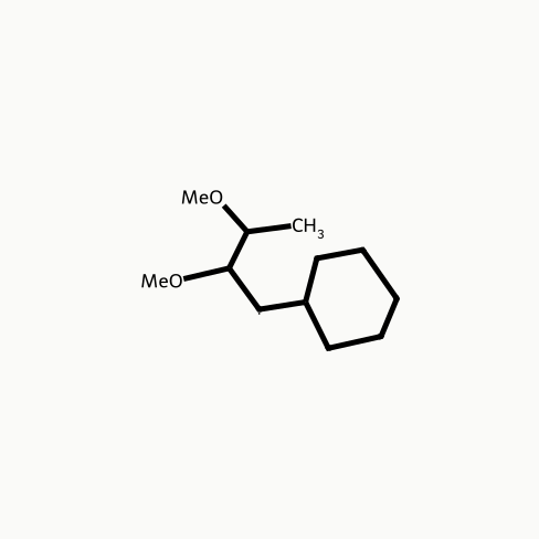 COC(C)C([CH]C1CCCCC1)OC